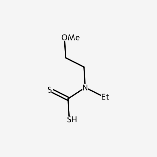 CCN(CCOC)C(=S)S